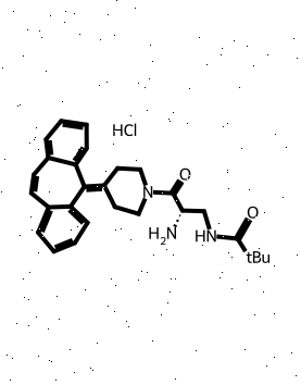 CC(C)(C)C(=O)NC[C@H](N)C(=O)N1CCC(=C2c3ccccc3C=Cc3ccccc32)CC1.Cl